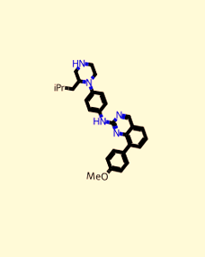 COc1ccc(-c2cccc3cnc(Nc4ccc(N5CCNCC5CC(C)C)cc4)nc23)cc1